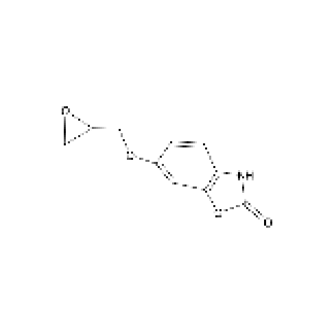 O=c1[nH]c2ccc(OCC3CO3)cc2o1